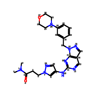 CN(C)C(=O)CCn1cc(Nc2ncc3cnn(Cc4cccc(N5CCOCC5)c4)c3n2)cn1